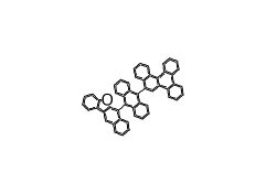 c1ccc2c(-c3c4ccccc4c(-c4cc5c6ccccc6c6ccccc6c5c5ccccc45)c4ccccc34)c3oc4ccccc4c3cc2c1